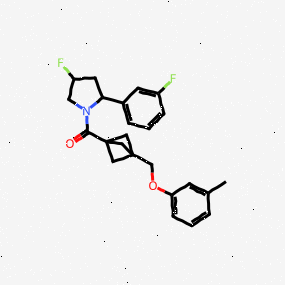 Cc1cccc(OCC23CC(C(=O)N4CC(F)CC4c4cccc(F)c4)(C2)C3)c1